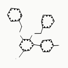 CC(C)c1cc(OCc2ccccc2)c(OCc2ccccc2)c(-c2ccc(F)cc2)c1